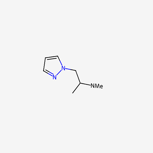 CNC(C)Cn1cccn1